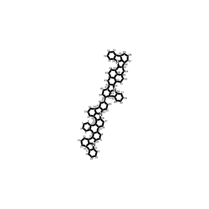 c1ccc2c(c1)c1c(ccc3c1c1cccc4c5ccccc5n3c41)c1ccc3c(c4cccc5c6cc(-c7ccc8c9cc%10ccc%11c%12c(ccc(c%10%12)c9n9c%10ccccc%10c7c89)cc7c8cccc9c%10ccccc%10n(c98)c7%11)ccc6n3c54)c21